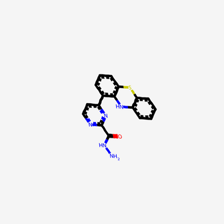 NNC(=O)c1nccc(-c2cccc3c2Nc2ccccc2S3)n1